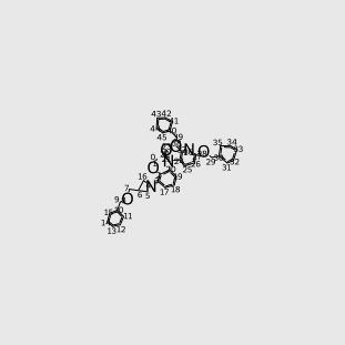 COc1c(N2CC(COCc3ccccc3)C2)cccc1N(C=O)c1ccc(OCc2ccccc2)nc1OCc1ccccc1